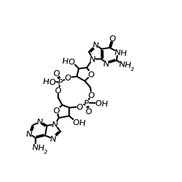 Nc1nc2c(ncn2C2OC3COP(=O)(O)OC4C(COP(=O)(O)OC3C2O)OC(n2cnc3c(N)ncnc32)C4O)c(=O)[nH]1